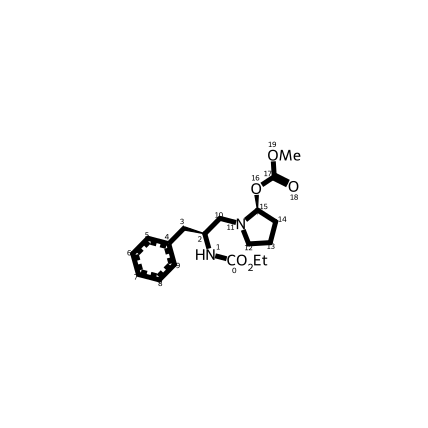 CCOC(=O)N[C@@H](Cc1ccccc1)CN1CCC[C@@H]1OC(=O)OC